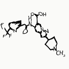 CN1CCC(c2cc3cc(NC(=O)c4cccc(C(F)(F)F)n4)c(C(=O)O)cn3n2)CC1